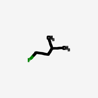 CC(C)C[CH]F